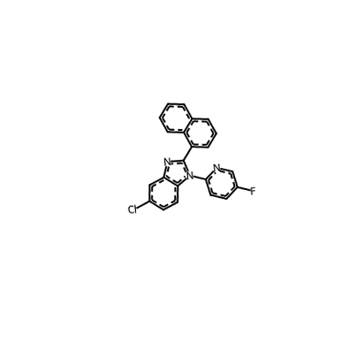 Fc1ccc(-n2c(-c3cccc4ccccc34)nc3cc(Cl)ccc32)nc1